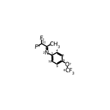 C/C(=N\c1ccc(OC(F)(F)F)cc1)C(F)F